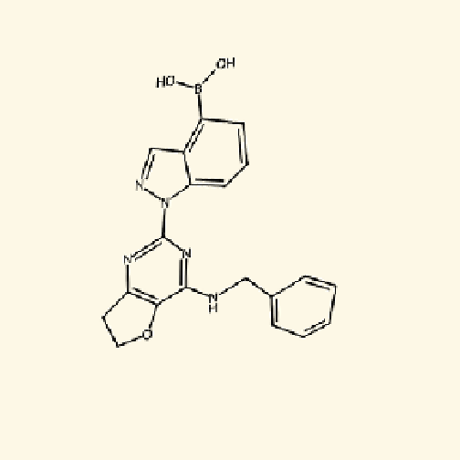 OB(O)c1cccc2c1cnn2-c1nc2c(c(NCc3ccccc3)n1)OCC2